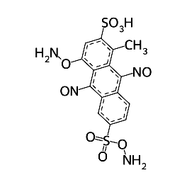 Cc1c(S(=O)(=O)O)cc(ON)c2c(N=O)c3cc(S(=O)(=O)ON)ccc3c(N=O)c12